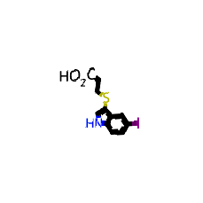 O=C(O)CCSc1c[nH]c2ccc(I)cc12